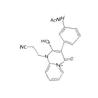 CC(=O)Nc1cccc(-c2c(O)n(CCC#N)c3cccc[n+]3c2=O)c1